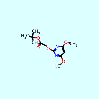 COc1cc(OC)nc(OCC(=O)OC(C)(C)C)n1